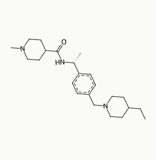 CCC1CCN(Cc2ccc([C@@H](C)NC(=O)C3CCN(C)CC3)cc2)CC1